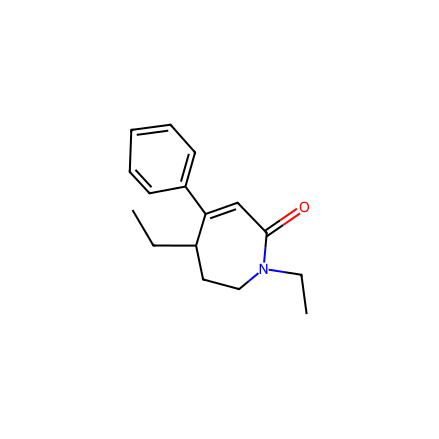 CCC1CCN(CC)C(=O)C=C1c1ccccc1